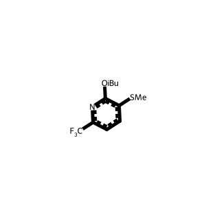 CSc1ccc(C(F)(F)F)nc1OCC(C)C